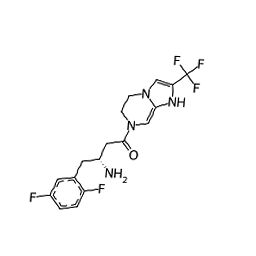 N[C@@H](CC(=O)N1C=C2NC(C(F)(F)F)=CN2CC1)Cc1cc(F)ccc1F